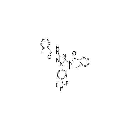 Cc1ccccc1C(=O)Nc1nc(NC(=O)c2ccccc2C)n(-c2ccc(C(F)(F)F)cc2)n1